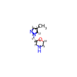 Cc1cnn(C[C@H]2CNCCO2)c1